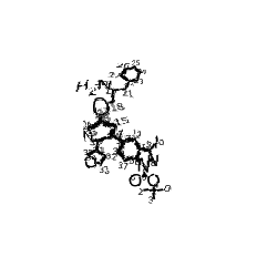 CC(C)(C)OC(=O)n1nc(I)c2cc(-c3cc(OC[C@@H](N)Cc4ccccc4)cnc3-c3ccoc3)ccc21